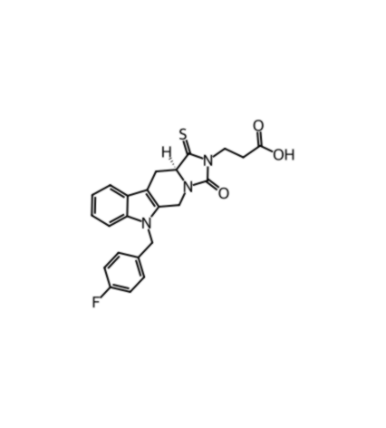 O=C(O)CCN1C(=O)N2Cc3c(c4ccccc4n3Cc3ccc(F)cc3)C[C@H]2C1=S